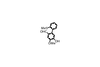 COc1cc(C=O)c(-c2ccccc2SC)cc1O